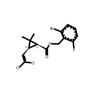 CC1(C)[C@H](C=C(Cl)Cl)[C@@H]1C(=O)OCc1c(F)cccc1Br